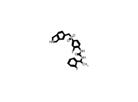 CC(NC(=O)Nc1ccc(S(=O)(=O)Cc2ccc3c(c2)CNC3)cc1F)c1ccccc1F